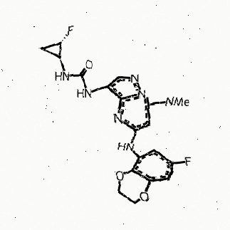 CNc1cc(Nc2cc(F)cc3c2OCCO3)nc2c(NC(=O)N[C@H]3C[C@@H]3F)cnn12